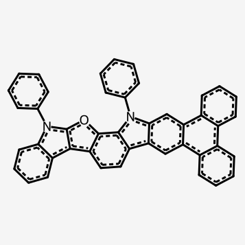 c1ccc(-n2c3ccccc3c3c4ccc5c6cc7c8ccccc8c8ccccc8c7cc6n(-c6ccccc6)c5c4oc32)cc1